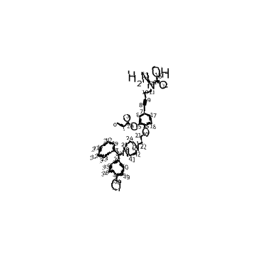 C=CC(=O)Oc1cc(C#CCCN(N)C(=O)O)ccc1OCCN1CCN(C(c2ccccc2)c2ccc(Cl)cc2)CC1